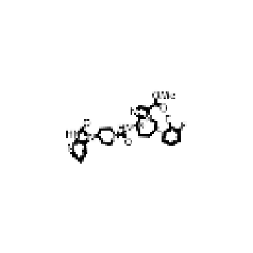 COC(=O)c1cnc2n1C[C@H](c1cccc(F)c1F)CC[C@H]2NC(=O)N1CCC(n2c(=O)[nH]c3ncccc32)CC1